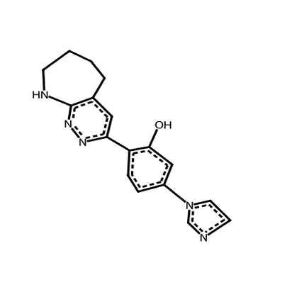 Oc1cc(-n2ccnc2)ccc1-c1cc2c(nn1)NCCCC2